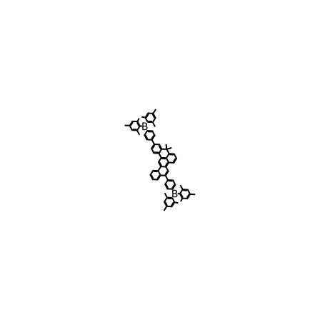 Cc1cc(C)c(B(c2ccc(-c3ccc4c(c3)C(C)(C)c3cccc5c3c-4cc3c4ccccc4c(-c4ccc(B(c6c(C)cc(C)cc6C)c6c(C)cc(C)cc6C)cc4)cc53)cc2)c2c(C)cc(C)cc2C)c(C)c1